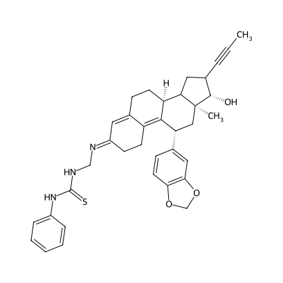 CC#CC1CC2[C@@H]3CCC4=C/C(=N/CNC(=S)Nc5ccccc5)CCC4=C3[C@@H](c3ccc4c(c3)OCO4)C[C@]2(C)[C@H]1O